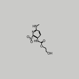 CNc1ccc(NC(=O)OCCO)c([N+](=O)[O-])n1